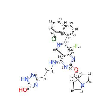 Oc1nc(CCCNc2nc(OCC34CCCN3CCC4)nc3c(F)c(-c4cccc5cccc(Cl)c45)ncc23)n[nH]1